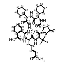 CC(C)(C)[C@H](NC(=O)[C@H](CC/C=C/C(N)=O)NC(=O)c1cnccc1C(=O)O)C(=O)N1CC(=O)C[C@H]1C(=O)N[C@H](C(=O)N[C@H](C(N)=O)C1CCCCC1)C1CCCCC1